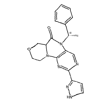 C[C@@H](c1ccccc1)N1C(=O)C2COCCN2c2nc(-c3cc[nH]n3)ncc21